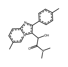 Cc1ccc(-c2nc3ccc(C)cn3c2C(O)C(=O)N(C)C)cc1